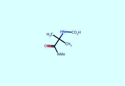 CNC(=O)C(C)(C)NC(=O)O